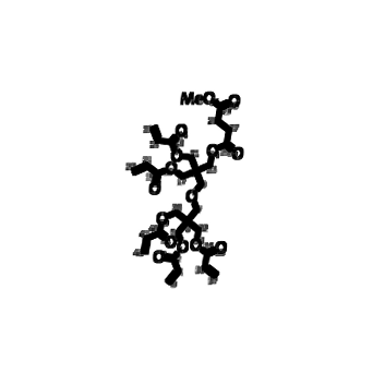 C=CC(=O)OCC(COCC(COC(=O)C=C)(COC(=O)C=C)COC(=O)CCC(=O)OC)(COC(=O)C=C)COC(=O)C=C